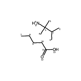 CC(C)C(C)(C)N.CCCCC(=O)O